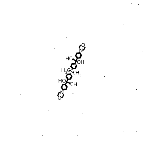 C#CC(O)(c1ccc(N2CCOCC2)cc1)c1ccc(S(C)(C)c2ccc(C(O)(C#C)c3ccc(N4CCOCC4)cc3)cc2)cc1